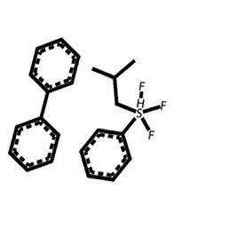 CC(C)C[SH](F)(F)(F)c1ccccc1.c1ccc(-c2ccccc2)cc1